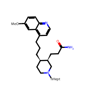 CCCCCCCN1CC[C@@H](CCCc2ccnc3ccc(OC)cc23)[C@@H](CCC(N)=O)C1